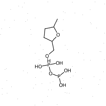 CC1CCC(CO[PH](O)(O)OP(O)O)O1